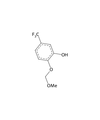 COCOc1ccc(C(F)(F)F)cc1O